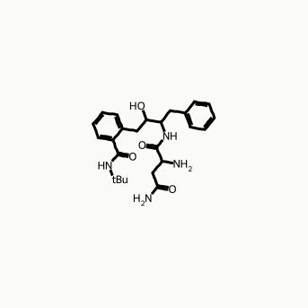 CC(C)(C)NC(=O)c1ccccc1CC(O)C(Cc1ccccc1)NC(=O)C(N)CC(N)=O